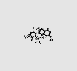 CCOc1cc2c(N[C@H](C)c3cccc(C(F)(F)F)c3F)nc(C)nc2cn1